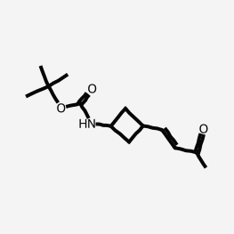 CC(=O)/C=C/C1CC(NC(=O)OC(C)(C)C)C1